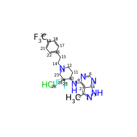 Cc1n[nH]c2ncnc(NC3CCN(CCc4ccc(C(F)(F)F)cc4)CC3(F)F)c12.Cl